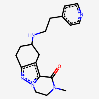 CN1CCn2nc3c(c2C1=O)CC(NCCc1ccncc1)CC3